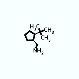 CC(C)(C)[C@@H]1CCC[C@@H]1CN